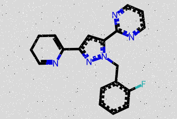 Fc1ccccc1Cn1nc(C2=CCCC=N2)cc1-c1ncccn1